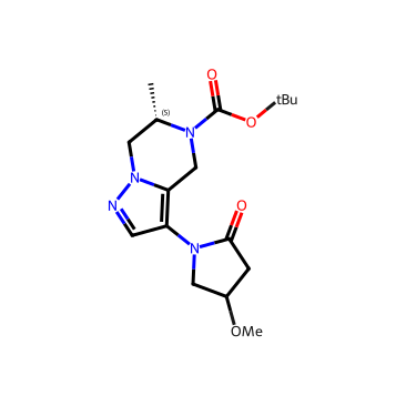 COC1CC(=O)N(c2cnn3c2CN(C(=O)OC(C)(C)C)[C@@H](C)C3)C1